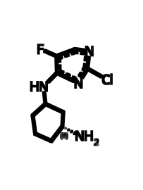 N[C@@H]1CCCC(Nc2nc(Cl)ncc2F)C1